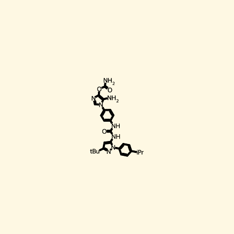 CC(C)c1ccc(-n2nc(C(C)(C)C)cc2NC(=O)Nc2ccc(-n3cnc(OC(N)=O)c3N)cc2)cc1